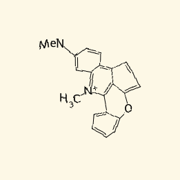 CNc1ccc2c3cccc4c3c([n+](C)c2c1)-c1ccccc1O4